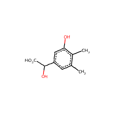 Cc1cc(C(O)C(=O)O)cc(O)c1C